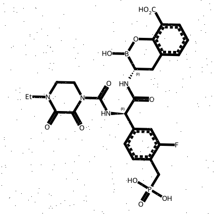 CCN1CCN(C(=O)N[C@@H](C(=O)N[C@H]2Cc3cccc(C(=O)O)c3OB2O)c2ccc(CP(=O)(O)O)c(F)c2)C(=O)C1=O